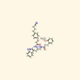 COc1ccccc1CCC(=O)NCC(Cc1c[nH]c2ccccc12)NC(=O)COc1ccc(CCCC#N)cc1